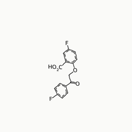 O=C(COc1ccc(F)cc1C(=O)O)c1ccc(F)cc1